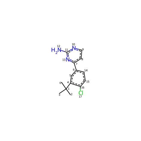 CC(C)(C)c1cc(-c2ccnc(N)n2)ccc1Cl